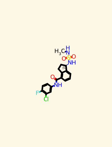 CNS(=O)(=O)N[C@H]1CCc2c(C(=O)Nc3ccc(F)c(Cl)c3)cccc21